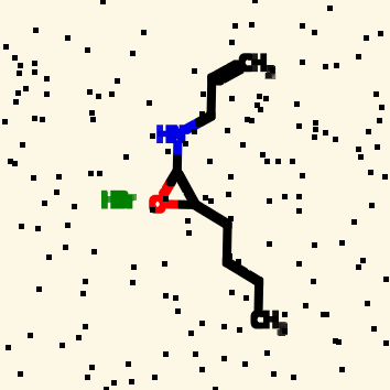 Br.C=CCNC1OC1CCCC